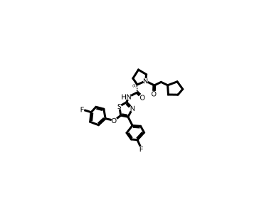 O=C(Nc1nc(-c2ccc(F)cc2)c(Oc2ccc(F)cc2)s1)[C@@H]1CCCN1C(=O)CC1CCCC1